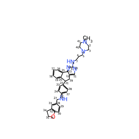 CN1CCN(CCCNc2ncc3c(n2)-c2ccccc2C(c2ccc(NCc4ccc5c(c4)CCO5)cc2)C3)CC1